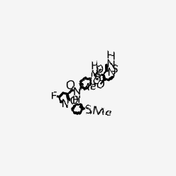 COC1=C(S(=O)(=O)NC2CCC(NC(=O)c3cc(F)cnc3Oc3cccc(SC)c3)CC2)C2=CNSN2C=C1